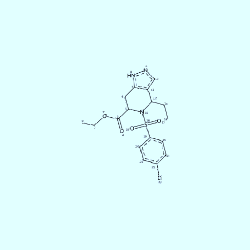 CCOC(=O)C1Cc2[nH]ncc2C(CC)N1S(=O)(=O)c1ccc(Cl)cc1